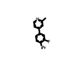 Cc1cc(-c2ccc(C(C)C)c(F)c2)ccn1